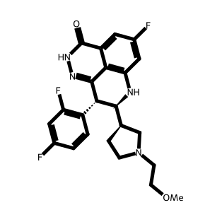 COCCN1CC[C@@H]([C@@H]2Nc3cc(F)cc4c(=O)[nH]nc(c34)[C@H]2c2ccc(F)cc2F)C1